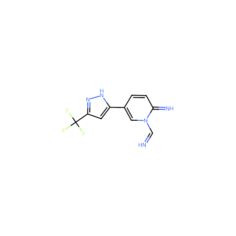 N=Cn1cc(-c2cc(C(F)(F)F)n[nH]2)ccc1=N